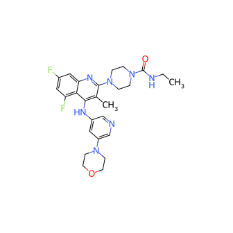 CCNC(=O)N1CCN(c2nc3cc(F)cc(F)c3c(Nc3cncc(N4CCOCC4)c3)c2C)CC1